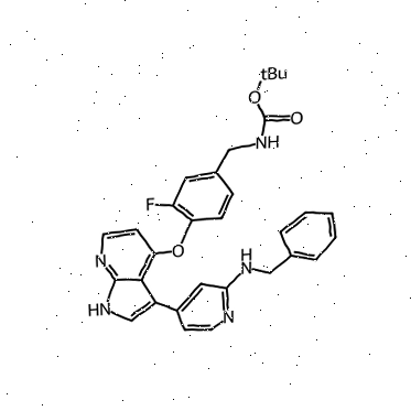 CC(C)(C)OC(=O)NCc1ccc(Oc2ccnc3[nH]cc(-c4ccnc(NCc5ccccc5)c4)c23)c(F)c1